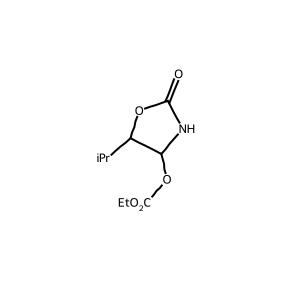 CCOC(=O)OC1NC(=O)OC1C(C)C